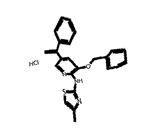 C=C(c1ccccc1)c1cnc(Nc2nc(C)cs2)c(OCc2ccccc2)c1.Cl